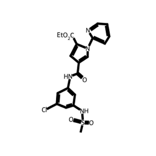 CCOC(=O)c1cc(C(=O)Nc2cc(Cl)cc(NS(C)(=O)=O)c2)cn1-c1ccccn1